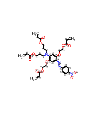 C=CC(=O)OCCCN(CCCOC(=O)C=C)c1cc(OCCOC(=O)C=C)c(N=Nc2ccc([N+](=O)[O-])cc2)cc1OCCOC(=O)C=C